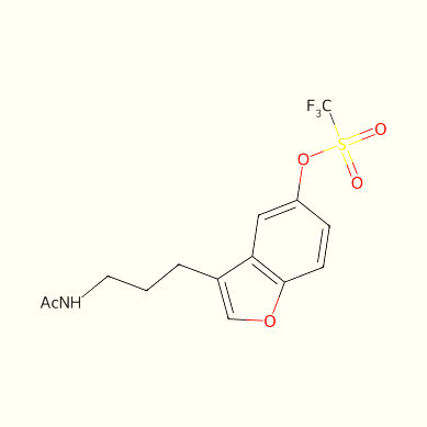 CC(=O)NCCCc1coc2ccc(OS(=O)(=O)C(F)(F)F)cc12